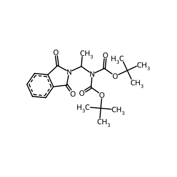 CC(N(C(=O)OC(C)(C)C)C(=O)OC(C)(C)C)N1C(=O)c2ccccc2C1=O